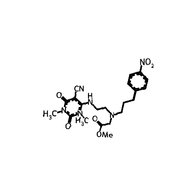 COC(=O)CN(CCCc1ccc([N+](=O)[O-])cc1)CCNc1c(C#N)c(=O)n(C)c(=O)n1C